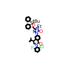 C=C(C)C1CN(c2c(F)cccc2Cl)C(=O)c2ccc(-n3nc(CO[Si](c4ccccc4)(c4ccccc4)C(C)(C)C)n(CC)c3=O)cc21